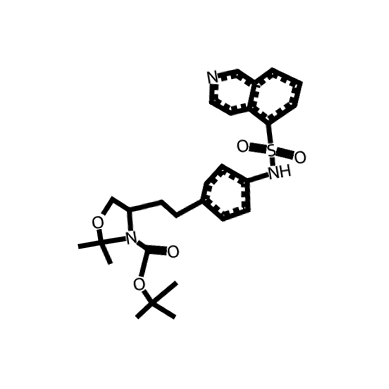 CC(C)(C)OC(=O)N1C(CCc2ccc(NS(=O)(=O)c3cccc4cnccc34)cc2)COC1(C)C